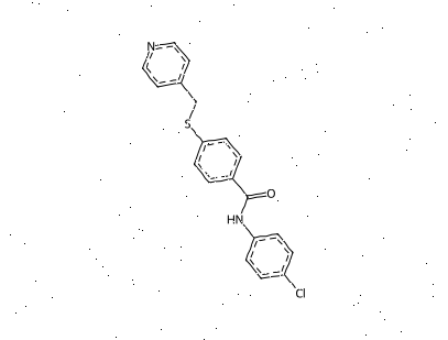 O=C(Nc1ccc(Cl)cc1)c1ccc(SCc2ccncc2)cc1